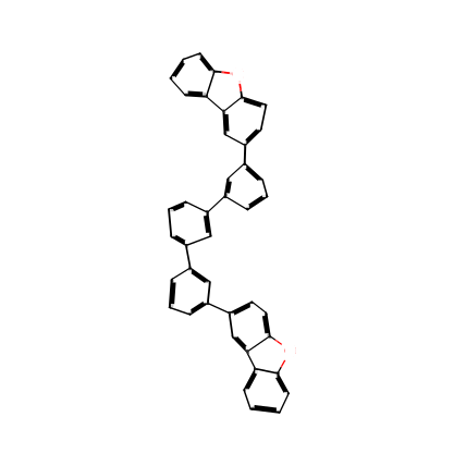 c1cc(-c2cccc(-c3ccc4oc5ccccc5c4c3)c2)cc(-c2cccc(-c3ccc4oc5ccccc5c4c3)c2)c1